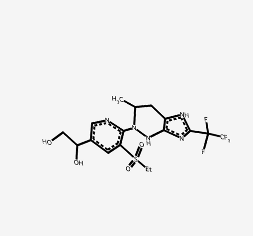 CCS(=O)(=O)c1cc(C(O)CO)cnc1N1Nc2nc(C(F)(F)C(F)(F)F)[nH]c2CC1C